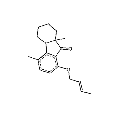 C/C=C/COc1ccc(C)c2c1C(=O)C1(C)CCCCC21